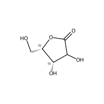 O=C1O[C@@H](CO)[C@@H](O)C1O